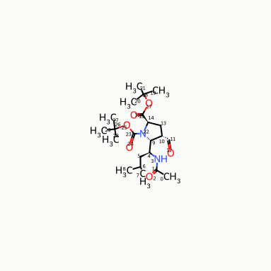 CC(=O)N[C@@H](CC(C)C)[C@H]1[C@@H](C=O)C[C@H](C(=O)OC(C)(C)C)N1C(=O)OC(C)(C)C